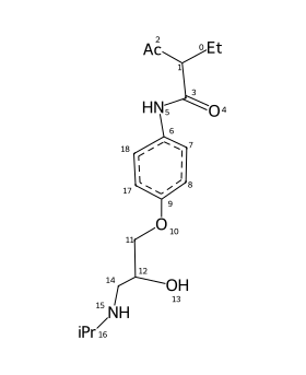 CCC(C(C)=O)C(=O)Nc1ccc(OCC(O)CNC(C)C)cc1